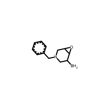 BC1CN(Cc2ccccc2)CC2OC12